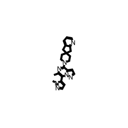 Cc1nc(N2CCC3(CC2)Cc2cccnc2C3)c2ccnn2c1-c1ccnn1C